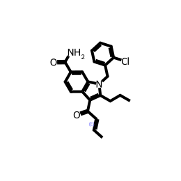 C/C=C/C(=O)c1c(CCC)n(Cc2ccccc2Cl)c2cc(C(N)=O)ccc12